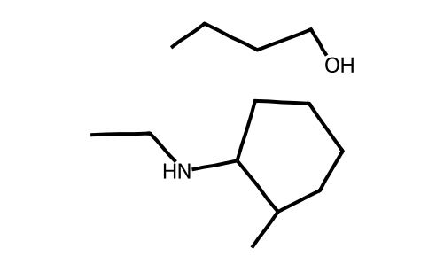 CCCCO.CCNC1CCCCC1C